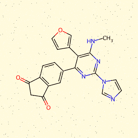 CNc1nc(-n2ccnc2)nc(-c2ccc3c(c2)C(=O)CC3=O)c1-c1ccoc1